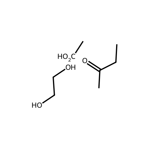 CC(=O)O.CCC(C)=O.OCCO